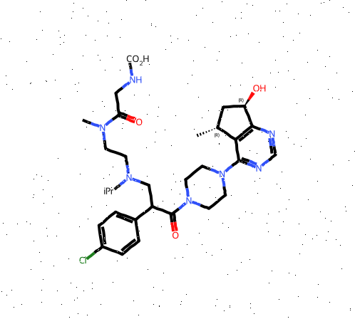 CC(C)N(CCN(C)C(=O)CNC(=O)O)CC(C(=O)N1CCN(c2ncnc3c2[C@H](C)C[C@H]3O)CC1)c1ccc(Cl)cc1